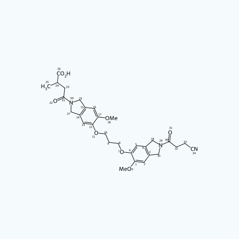 COc1cc2c(cc1OCCCOc1cc3c(cc1OC)CN(C(=O)CC(C)C(=O)O)C3)CN(C(=O)CCC#N)C2